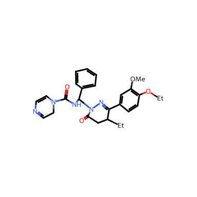 CCOc1ccc(C2=NN(C(NC(=O)N3C=CN=CC3)c3ccccc3)C(=O)CC2CC)cc1OC